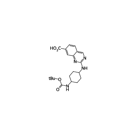 CC(C)(C)OC(=O)NC1CCC(Nc2ncc3ccc(C(=O)O)cc3n2)CC1